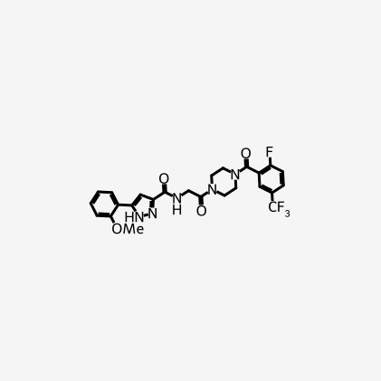 COc1ccccc1-c1cc(C(=O)NCC(=O)N2CCN(C(=O)c3cc(C(F)(F)F)ccc3F)CC2)n[nH]1